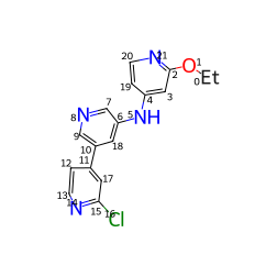 CCOc1cc(Nc2cncc(-c3ccnc(Cl)c3)c2)ccn1